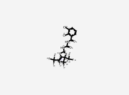 O=C(NC(=O)c1cccc(Cl)c1Cl)NC1=NC(C(F)(F)F)(C(F)(F)F)/C(=C(\F)C(F)(F)F)S1